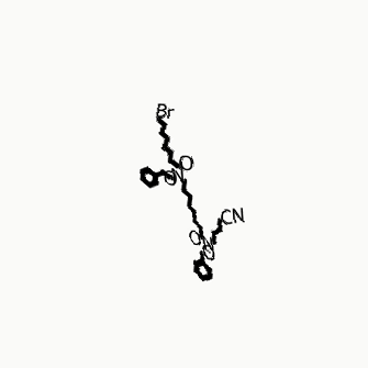 N#CCCCCN(OCc1ccccc1)C(=O)CCCCCCCN(OCc1ccccc1)C(=O)CCCCCCCBr